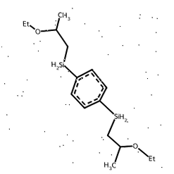 CCOC(C)C[SiH2]c1ccc([SiH2]CC(C)OCC)cc1